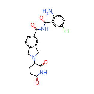 Nc1ccc(Cl)cc1C(=O)NC(=O)c1ccc2c(c1)CN(C1CCC(=O)NC1=O)C2